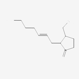 O=C(O)CCCC=CCC1C(=O)CCC1C[N+](=O)[O-]